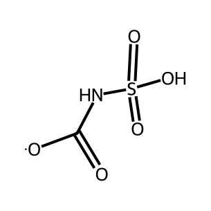 [O]C(=O)NS(=O)(=O)O